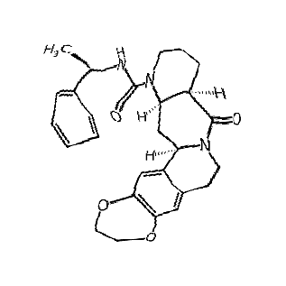 C[C@@H](NC(=O)N1CCC[C@H]2C(=O)N3CCc4cc5c(cc4[C@H]3C[C@H]21)OCCO5)c1ccccc1